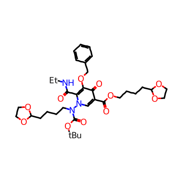 CCNC(=O)c1c(OCc2ccccc2)c(=O)c(C(=O)OCCCCC2OCCO2)cn1N(CCCCC1OCCO1)C(=O)OC(C)(C)C